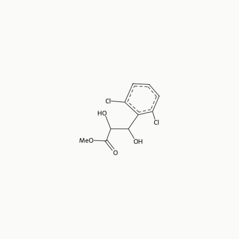 COC(=O)C(O)C(O)c1c(Cl)cccc1Cl